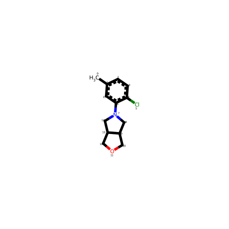 Cc1ccc(Cl)c(N2CC3COCC3C2)c1